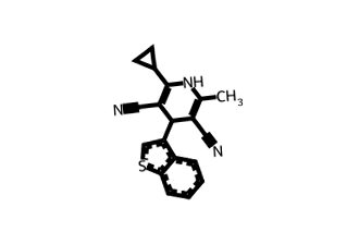 CC1=C(C#N)C(c2csc3ccccc23)C(C#N)=C(C2CC2)N1